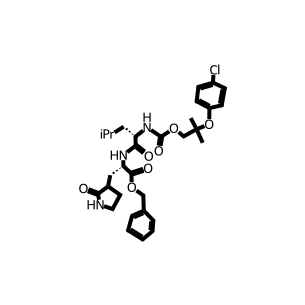 CC(C)C[C@H](NC(=O)OCC(C)(C)Oc1ccc(Cl)cc1)C(=O)N[C@@H](CC1CCNC1=O)C(=O)OCc1ccccc1